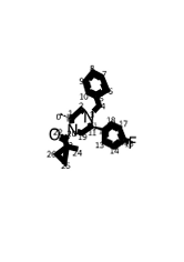 C[C@@H]1CN(Cc2ccccc2)[C@@H](c2ccc(F)cc2)CN1C(=O)C1(C)CC1